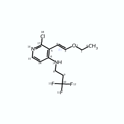 CCO/C=C/c1c(NCCC(F)(F)F)ccnc1Cl